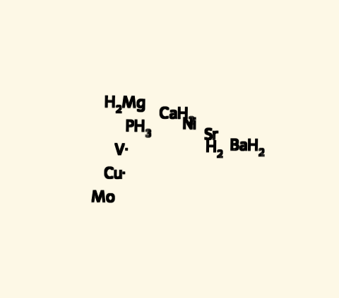 P.[BaH2].[CaH2].[Cu].[MgH2].[Mo].[Ni].[SrH2].[V]